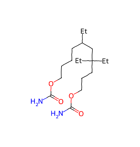 CCC(CCCCOC(N)=O)CC(CC)(CC)CCCOC(N)=O